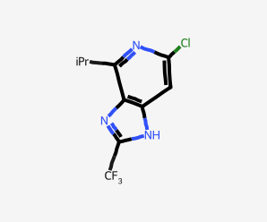 CC(C)c1nc(Cl)cc2[nH]c(C(F)(F)F)nc12